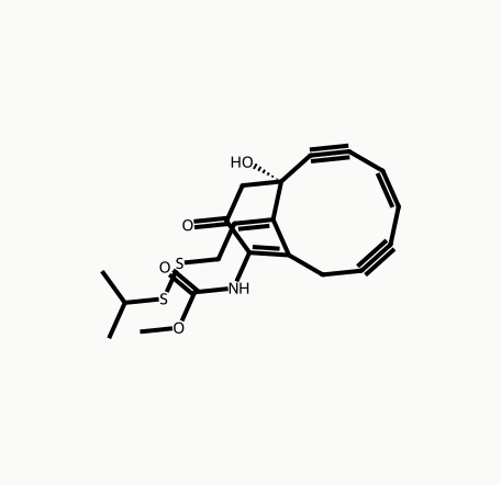 COC(=O)NC1=C2CC#C/C=C\C#C[C@](O)(CC1=O)/C2=C/CSSC(C)C